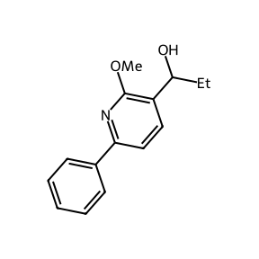 CCC(O)c1ccc(-c2ccccc2)nc1OC